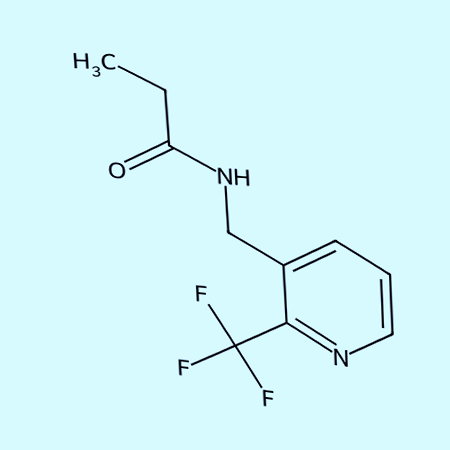 CCC(=O)NCc1cccnc1C(F)(F)F